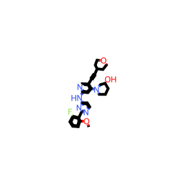 COc1cccc(F)c1-c1nccc(Nc2cc(N3CCC[C@H](O)C3)c(C#CC3CCOCC3)cn2)n1